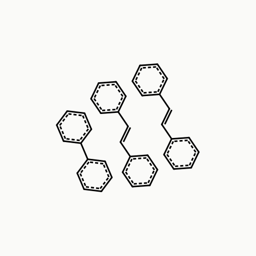 C(=Cc1ccccc1)c1ccccc1.C(=Cc1ccccc1)c1ccccc1.c1ccc(-c2ccccc2)cc1